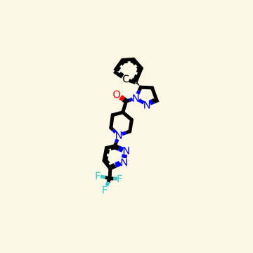 O=C(C1CCN(c2ccc(C(F)(F)F)nn2)CC1)N1N=CC[C@H]1c1ccccc1